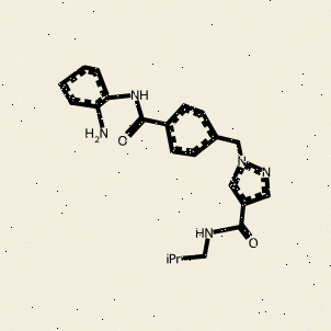 CC(C)CNC(=O)c1cnn(Cc2ccc(C(=O)Nc3ccccc3N)cc2)c1